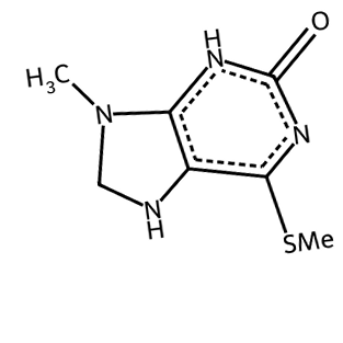 CSc1nc(=O)[nH]c2c1NCN2C